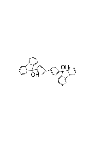 OC1(c2ccc(-c3ccc(C4(O)c5ccccc5C5=C=CC=CC54)cc3)cc2)c2ccccc2-c2ccccc21